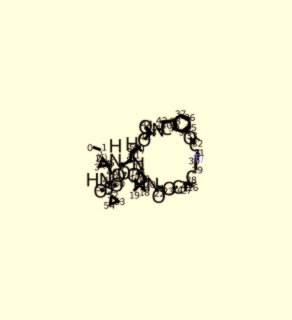 CC[C@H]1C[C@@]1(NC(=O)C1C[C@@H]2CN1C(=O)[C@H](C(C)(C)C)NC(=O)OCC(C)(C)CC/C=C/COc1cccc3c1CN(C3)C(=O)O2)C(=O)NS(=O)(=O)C1CC1